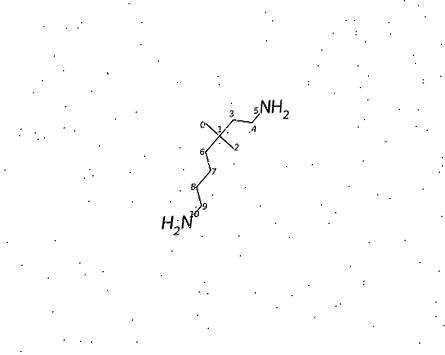 CC(C)(CCN)CCCCN